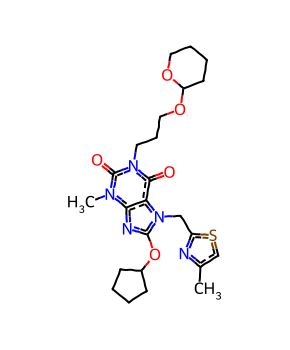 Cc1csc(Cn2c(OC3CCCC3)nc3c2c(=O)n(CCCOC2CCCCO2)c(=O)n3C)n1